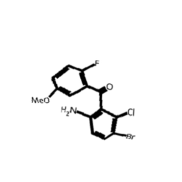 COc1ccc(F)c(C(=O)c2c(N)ccc(Br)c2Cl)c1